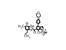 CCCc1cc(C)[nH]c(=O)c1CNC(=O)c1cc(-c2ccc(N3CCOCC3)cc2)c2ccn(CC(F)(F)F)c2c1C